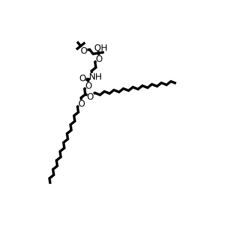 CCCCCCCCCCCCCCCCCCOCC(COC(=O)NCCCOC(C)(O)CCOC(C)(C)C)OCCCCCCCCCCCCCCCCCC